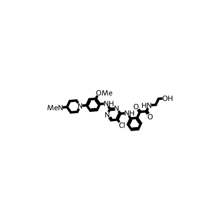 CNC1CCN(c2ccc(Nc3ncc(Cl)c(Nc4ccccc4C(=O)C(=O)NCCO)n3)c(OC)c2)CC1